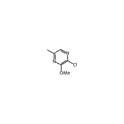 COc1nc(C)cnc1Cl